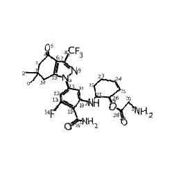 CC1(C)CC(=O)c2c(C(F)(F)F)nn(-c3cc(F)c(C(N)=O)c(NC4CCCCC4OC(=O)CN)c3)c2C1